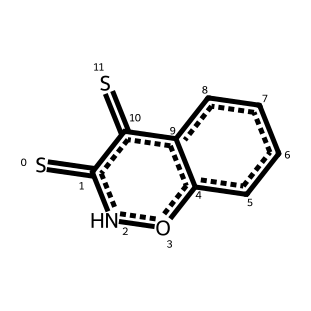 S=c1[nH]oc2ccccc2c1=S